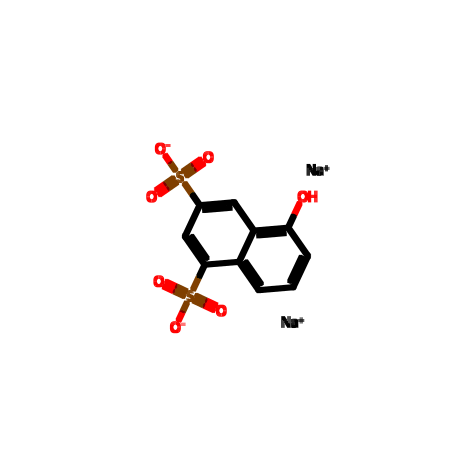 O=S(=O)([O-])c1cc(S(=O)(=O)[O-])c2cccc(O)c2c1.[Na+].[Na+]